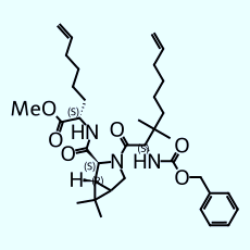 C=CCCCC[C@H](NC(=O)[C@@H]1[C@@H]2C(CN1C(=O)[C@@H](NC(=O)OCc1ccccc1)C(C)(C)CCCCC=C)C2(C)C)C(=O)OC